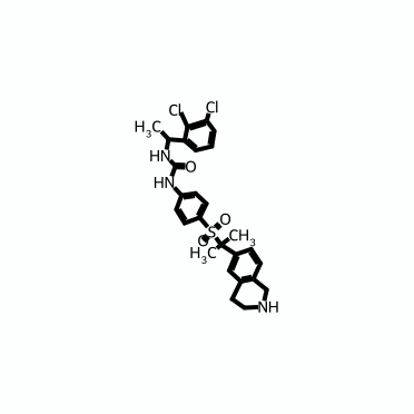 CC(NC(=O)Nc1ccc(S(=O)(=O)C(C)(C)c2ccc3c(c2)CCNC3)cc1)c1cccc(Cl)c1Cl